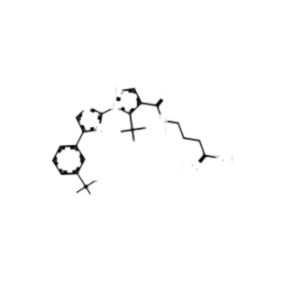 N=C(N)CCCNC(=O)c1cnn(-c2nc(-c3cccc(C(F)(F)F)c3)cs2)c1C(F)(F)F